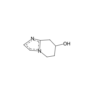 OC1CCn2ccnc2C1